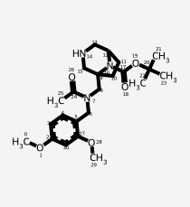 COc1ccc(CN(CC23CCC(CNC2)N3C(=O)OC(C)(C)C)C(C)=O)c(OC)c1